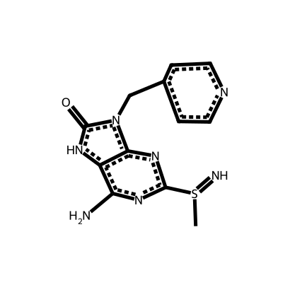 CS(=N)c1nc(N)c2[nH]c(=O)n(Cc3ccncc3)c2n1